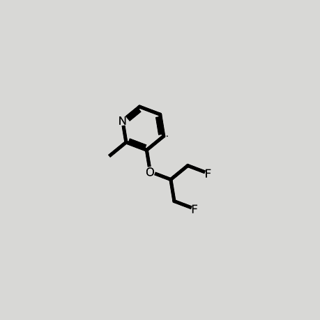 Cc1ncc[c]c1OC(CF)CF